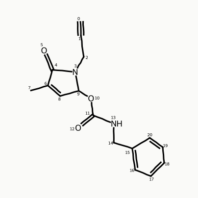 C#CCN1C(=O)C(C)=CC1OC(=O)NCc1ccccc1